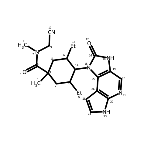 CCC1CC(C)(C(=O)N(C)CC#N)CC(CC)C1n1c(=O)[nH]c2cnc3[nH]ccc3c21